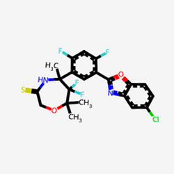 CC1(C)OCC(=S)NC(C)(c2cc(-c3nc4cc(Cl)ccc4o3)c(F)cc2F)C1(F)F